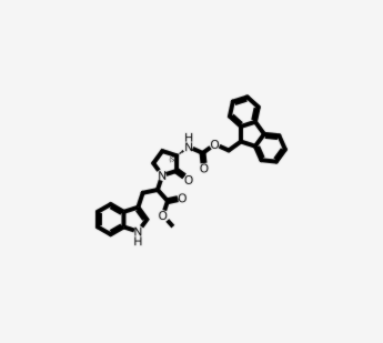 COC(=O)C(Cc1c[nH]c2ccccc12)N1CC[C@H](NC(=O)OCC2c3ccccc3-c3ccccc32)C1=O